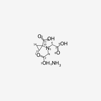 N.O=C(O)CN(CC(=O)O)C1(C(=O)O)CC1